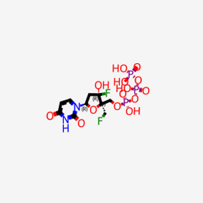 O=c1ccn([C@H]2C[C@@](O)(F)[C@@](CF)(COP(=O)(O)OP(=O)(O)OP(=O)(O)O)O2)c(=O)[nH]1